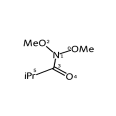 CON(OC)C(=O)C(C)C